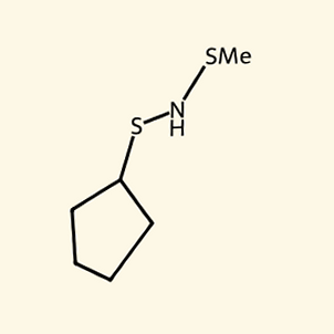 CSNSC1CCCC1